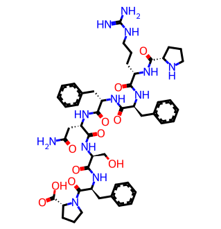 N=C(N)NCCC[C@H](NC(=O)[C@@H]1CCCN1)C(=O)N[C@@H](Cc1ccccc1)C(=O)N[C@@H](Cc1ccccc1)C(=O)N[C@@H](CC(N)=O)C(=O)N[C@@H](CO)C(=O)N[C@@H](Cc1ccccc1)C(=O)N1CCC[C@@H]1C(=O)O